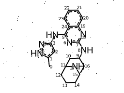 Cc1cc(Nc2nc(NC3CC4CCCC(C3)N4)nc3ccccc23)n[nH]1